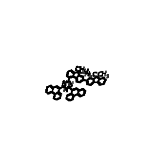 CC1(C)c2ccccc2-c2ccc(-c3ccc4c(c3)C(C)(C)c3cccc(-c5nc(-c6cc7ccccc7c7ccccc67)nc(-c6cc7ccccc7c7ccccc67)n5)c3-4)cc21